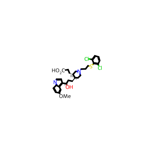 COc1ccc2nccc([C@H](O)CC[C@@H]3CCN(CCCSc4c(Cl)cccc4Cl)C[C@H]3CCC(=O)O)c2c1